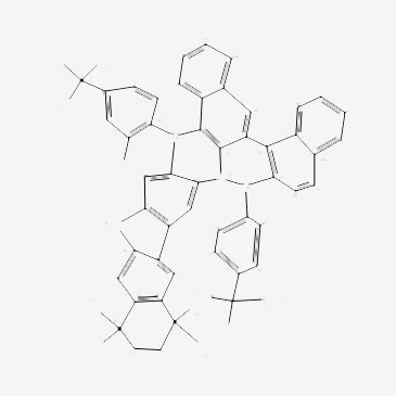 Cc1cc(C(C)(C)C)ccc1N1c2cc3oc4cc5c(cc4c3cc2B2c3c(cc4ccccc4c31)-c1c(ccc3ccccc13)N2c1ccc(C(C)(C)C)cc1)C(C)(C)CCC5(C)C